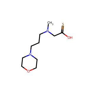 CN(CCCN1CCOCC1)CC(O)=S